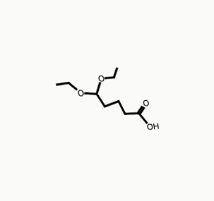 CCOC(CCCC(=O)O)OCC